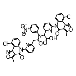 Cc1onc2c1c(=O)n(-c1cccc(CC(=O)N(c3cccc([N+](=O)[O-])c3)C(C(=O)O)c3cccc(-n4c(=O)c5c(C)onc5c5c(Cl)cccc54)n3)n1)c1cccc(Cl)c21